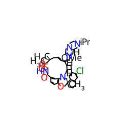 CO[C@@]1(CN2CCN3CCN(C(C)C)C[C@@H]3C2)/C=C/C[C@H](C)[C@@H](C)S(=O)(=O)NC(=O)c2ccc3c(c2)N(C[C@@H]2CC[C@H]21)C[C@@]1(CCCC2C=C(Cl)C=CC21C)CO3